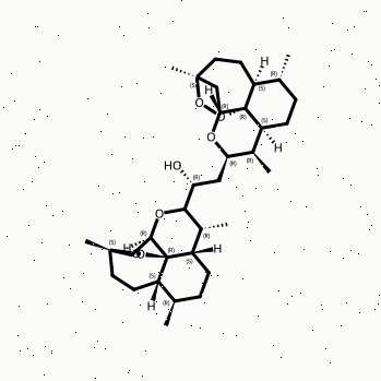 C[C@H]1[C@@H](C[C@@H](O)C2O[C@@H]3C[C@]4(C)CC[C@H]5[C@H](C)CC[C@@H]([C@H]2C)[C@@]35OO4)O[C@@H]2C[C@]3(C)CC[C@H]4[C@H](C)CC[C@@H]1[C@@]24OO3